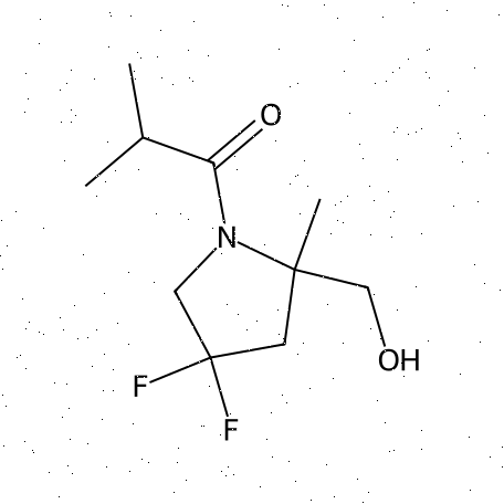 CC(C)C(=O)N1CC(F)(F)CC1(C)CO